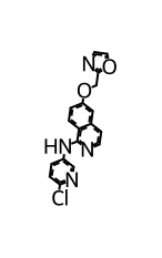 Clc1ccc(Nc2nccc3cc(OCc4ncco4)ccc23)cn1